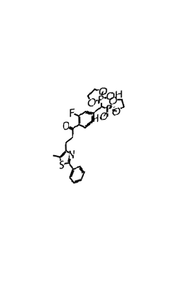 Cc1sc(-c2ccccc2)nc1CCC(=O)c1ccc(C([P]2(O)OCCO2)[P]2(O)OCCO2)cc1F